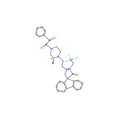 C[C@H]1CN(C(=O)C(=O)c2ccccc2)CCN1CCCCC1(C(=O)NCC(F)(F)F)c2ccccc2-c2ccccc21